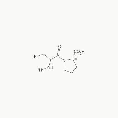 [3H]NC(CC(C)C)C(=O)N1CCC[C@H]1C(=O)O